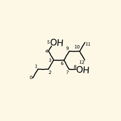 CCCC(CO)C(CO)CC(C)C